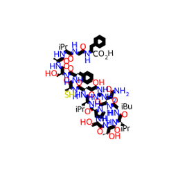 CC[C@H](C)[C@H](NC(=O)[C@H](CC(C)C)NC(=O)[C@@H](NC(=O)[C@@H](N)CO)[C@@H](C)O)C(=O)N[C@@H](CCC(N)=O)C(=O)N1CCC[C@H]1C(=O)N[C@@H](CC(C)C)C(=O)N[C@@H](CCCNC(=N)N)C(=O)N[C@@H](CS)C(=O)N[C@@H](Cc1ccc(O)cc1)C(=O)N[C@@H](CO)C(=O)N[C@@H](C)C(=O)N[C@H](C(=O)NCC(=O)N[C@@H](Cc1ccccc1)C(=O)O)C(C)C